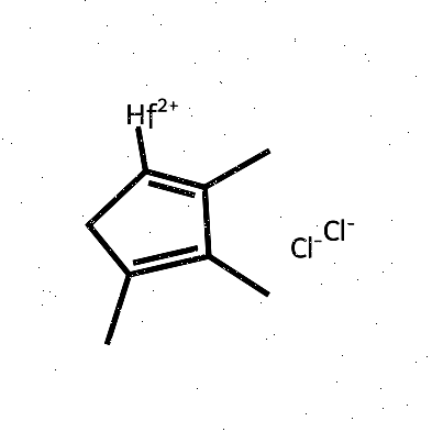 CC1=C(C)C(C)=[C]([Hf+2])C1.[Cl-].[Cl-]